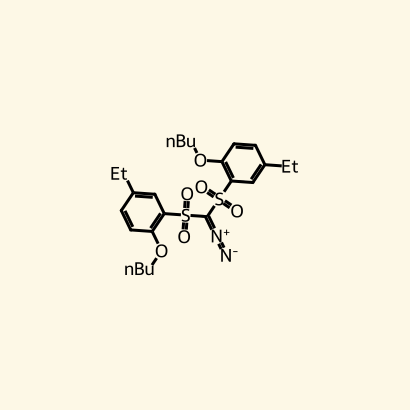 CCCCOc1ccc(CC)cc1S(=O)(=O)C(=[N+]=[N-])S(=O)(=O)c1cc(CC)ccc1OCCCC